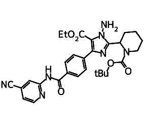 CCOC(=O)c1c(-c2ccc(C(=O)Nc3cc(C#N)ccn3)cc2)nc(C2CCCCN2C(=O)OC(C)(C)C)n1N